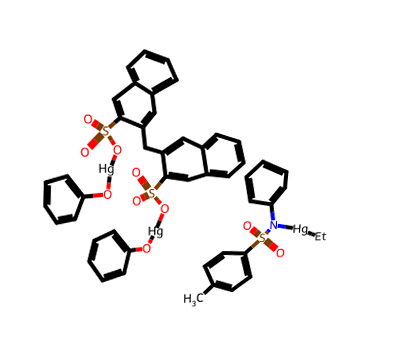 C[CH2][Hg][N](c1ccccc1)S(=O)(=O)c1ccc(C)cc1.O=S(=O)([O][Hg][O]c1ccccc1)c1cc2ccccc2cc1Cc1cc2ccccc2cc1S(=O)(=O)[O][Hg][O]c1ccccc1